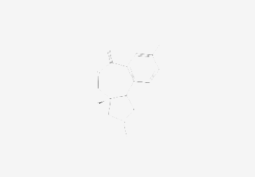 CN1CC2c3ccc(F)cc3C(=O)NC[C@H]2C1